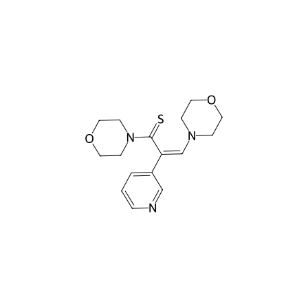 S=C(C(=CN1CCOCC1)c1cccnc1)N1CCOCC1